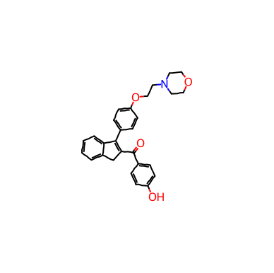 O=C(C1=C(c2ccc(OCCN3CCOCC3)cc2)c2ccccc2C1)c1ccc(O)cc1